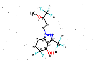 COC(CCn1nc(C(F)(F)F)c2c1CCC(F)(F)[C@H]2O)C(F)(F)F